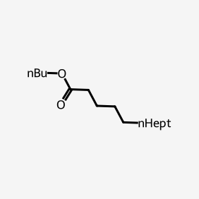 [CH2]CCCOC(=O)CCCCCCCCCCC